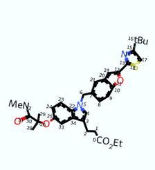 CCOC(=O)CCc1cn(Cc2ccc3oc(-c4nc(C(C)(C)C)cs4)cc3c2)c2ccc(OC(C)(C)C(=O)NC)cc12